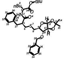 CCCC[C@H](NC(=O)[C@@H](CSC[C@H]1O[C@@H]2OC(C)(C)O[C@@H]2[C@@H]1OCc1ccccc1)Cc1ccccc1)C(=O)OC(C)(C)C